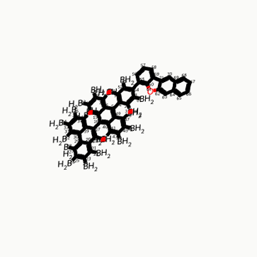 Bc1c(B)c(-c2c3c(B)c(B)c(B)c(B)c3c(-c3c(B)c4c(B)c(B)c(B)c(B)c4c4c(B)c(B)c(B)c(B)c34)c3c(B)c(B)c(B)c(B)c23)c(B)c(B)c1-c1cccc2c1oc1cc3ccccc3cc12